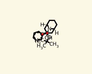 CC(C)(C)OC(=O)N1[C@@H]2CCC[C@H]1C[C@](O)(c1cccnc1)C2